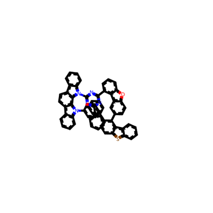 c1ccc(-c2nc(-c3cccc4oc5ccc(-c6c(-c7ccccc7)ccc7sc8ccccc8c67)cc5c34)nc(-n3c4ccccc4c4ccc5c6ccccc6n(-c6ccccc6)c5c43)n2)cc1